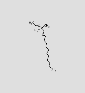 CCCCCCCCCCCOC[Si](C)(C)OCC